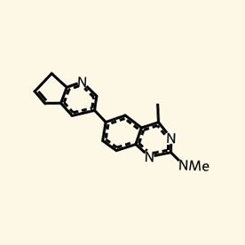 CNc1nc(C)c2cc(-c3cnc4c(c3)C=CC4)ccc2n1